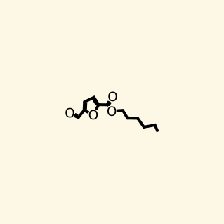 CCCCCCOC(=O)c1ccc(C=O)o1